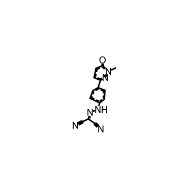 Cn1nc(-c2ccc(NN=C(C#N)C#N)cc2)ccc1=O